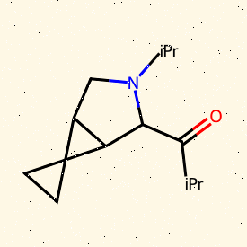 CC(C)C(=O)C1C2C(CN1C(C)C)C21CC1